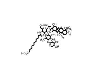 CCC1C2(C)CC[C@H](O)C(C)(C=O)C2CCC12C=C1C(I)[C@@](CCC(C)(C)C)(C(=O)O[C@@H]3OC(CO)[C@H](NC(=O)CCCCCCCCCCC(=O)O)C(O)C3O[C@@H]3OC(C)[C@H](O[C@@H]4OC[C@@H](O)C(O)C4O)C(O)C3O)C(O)CC12C